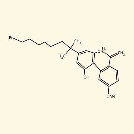 C=C(C)c1ccc(OC)cc1-c1c(O)cc(C(C)(C)CCCCCCBr)cc1O